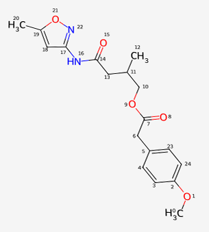 COc1ccc(CC(=O)OCC(C)CC(=O)Nc2cc(C)on2)cc1